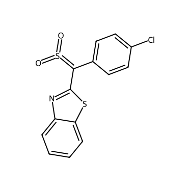 O=S(=O)=C(c1ccc(Cl)cc1)c1nc2ccccc2s1